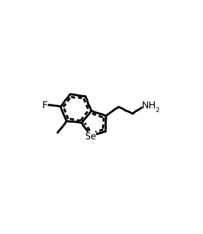 Cc1c(F)ccc2c(CCN)c[se]c12